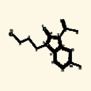 C=C(C)n1c(=O)n(CCCCl)c2ccc(C)cc21